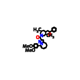 COc1ccc(/C2=C/C=C\CCc3cc(C(=O)N4C[C@H](C)CC(CC(=O)c5ccccc5)[C@@H](C)C4)nn32)cc1OC